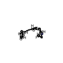 N=C(/C=C\c1ncc(-c2cccc(N3CCN(CC(=O)NCCCCCCCCNc4cccc5c4C(=O)N(C4CCC(=O)NC4=O)C5=O)CC3)n2)[nH]1)C1CCCC1c1cccc(F)c1